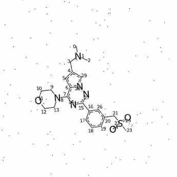 CN(C)Cc1cc2c(N3CCOCC3)nc(-c3cccc(CS(C)(=O)=O)c3)nn2c1